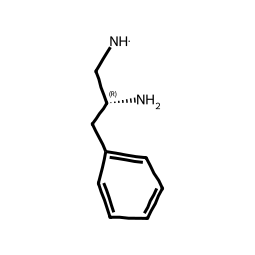 [NH]C[C@H](N)Cc1ccccc1